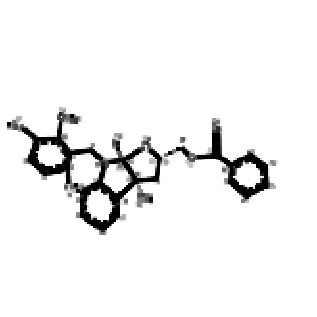 CCCCc1ccc(OC)c(CN2c3ccccc3[C@]3(O)C[C@@H](COC(=O)c4ccccc4)O[C@H]23)c1OC